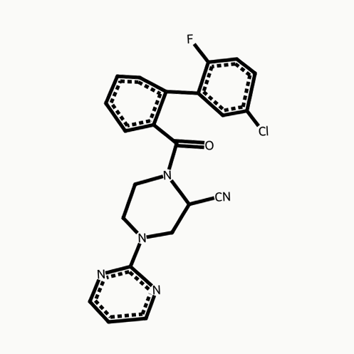 N#CC1CN(c2ncccn2)CCN1C(=O)c1ccccc1-c1cc(Cl)ccc1F